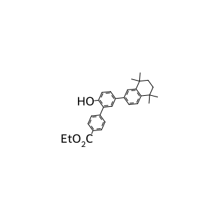 CCOC(=O)c1ccc(-c2cc(-c3ccc4c(c3)C(C)(C)CCC4(C)C)ccc2O)cc1